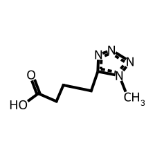 Cn1nnnc1CCCC(=O)O